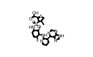 Cc1csc(C(=O)O)c1S(=O)(=O)Nc1ccc(F)c(Nc2ncccc2-c2ncnc3[nH]cnc23)c1F